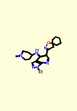 CCn1ncc2c(NC3CCN(C)CC3)c(C3=NOC4(CCCCC4)C3)cnc21